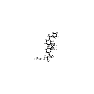 CCCCCOC(=O)C(=O)c1ccc2c(c1)C(CC)(CC)c1cc(C(=O)c3cccs3)ccc1-2